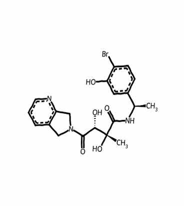 C[C@@H](NC(=O)[C@](C)(O)[C@@H](O)C(=O)N1Cc2cccnc2C1)c1ccc(Br)c(O)c1